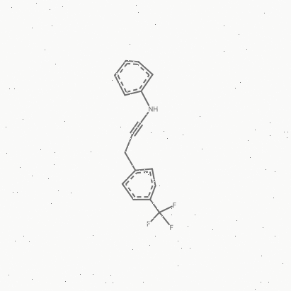 FC(F)(F)c1ccc(CC#CNc2ccccc2)cc1